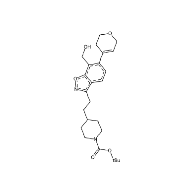 CC(C)(C)OC(=O)N1CCC(CCc2noc3c(CO)c(C4=CCOCC4)ccc23)CC1